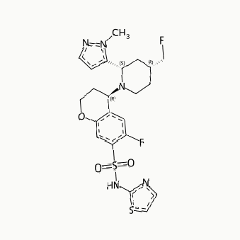 Cn1nccc1[C@@H]1C[C@H](CF)CCN1[C@@H]1CCOc2cc(S(=O)(=O)Nc3nccs3)c(F)cc21